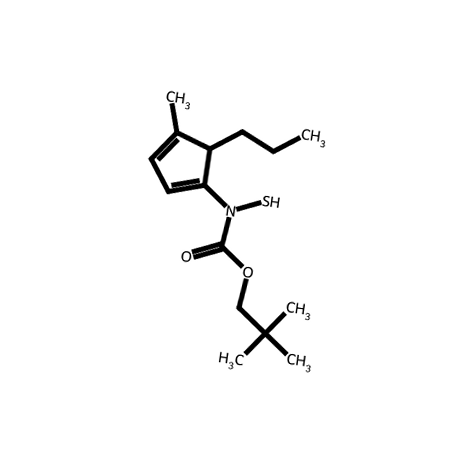 CCCC1C(C)=CC=C1N(S)C(=O)OCC(C)(C)C